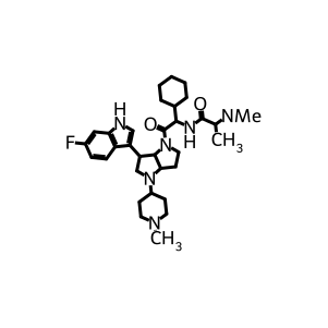 CNC(C)C(=O)NC(C(=O)N1CCC2C1C(c1c[nH]c3cc(F)ccc13)CN2C1CCN(C)CC1)C1CCCCC1